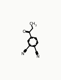 CCC(=O)c1ccc(C#N)c(C#N)c1